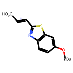 CCCCOc1ccc2nc(/C=C/C(=O)O)sc2c1